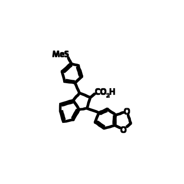 CSc1ccc(C2c3ccccc3C(c3ccc4c(c3)OCO4)C2C(=O)O)cc1